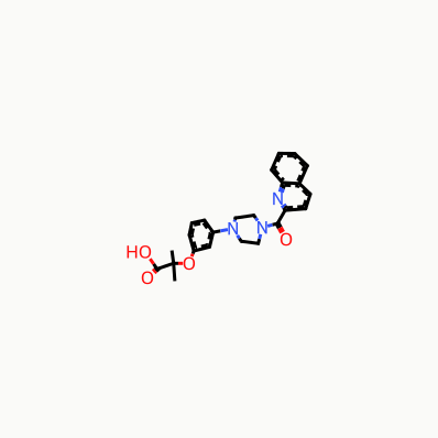 CC(C)(Oc1cccc(N2CCN(C(=O)c3ccc4ccccc4n3)CC2)c1)C(=O)O